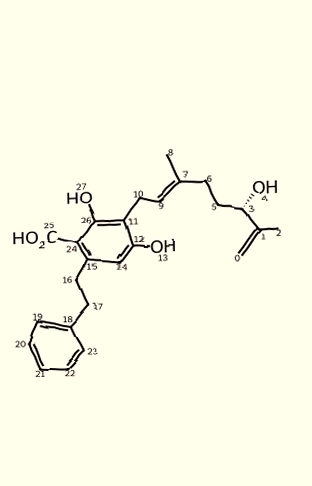 C=C(C)[C@@H](O)CC/C(C)=C/Cc1c(O)cc(CCc2ccccc2)c(C(=O)O)c1O